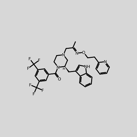 CC(CN1CCN(C(=O)c2cc(C(F)(F)F)cc(C(F)(F)F)c2)[C@H](Cc2c[nH]c3ccccc23)C1)=NOCCc1ccccn1